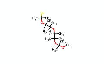 COC(C)(C)OC(C)(C)C(C)(C)OC(C)(C)C(C)(C)OC(C)(C)S